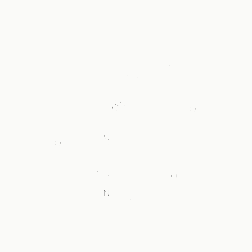 C1COCCN2CCOCCOCCC(CCO1)CCOCCOCC2